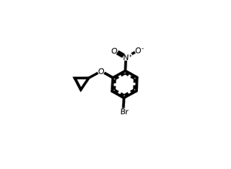 O=[N+]([O-])c1ccc(Br)cc1OC1CC1